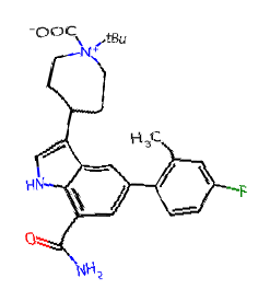 Cc1cc(F)ccc1-c1cc(C(N)=O)c2[nH]cc(C3CC[N+](C(=O)[O-])(C(C)(C)C)CC3)c2c1